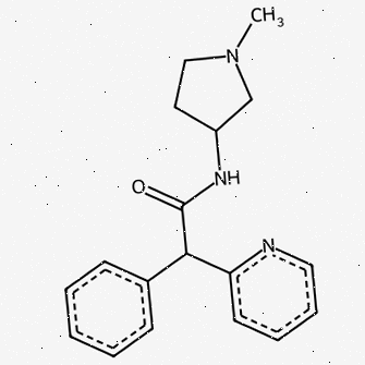 CN1CCC(NC(=O)C(c2ccccc2)c2ccccn2)C1